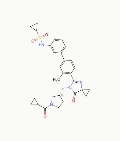 Cc1cc(-c2cccc(NS(=O)(=O)C3CC3)c2)ccc1C1=NC2(CC2)C(=O)N1C[C@@H]1CCN(C(=O)C2CC2)C1